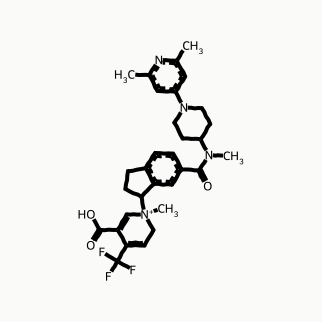 Cc1cc(N2CCC(N(C)C(=O)c3ccc4c(c3)C([N+]3(C)C=C(C(=O)O)C(C(F)(F)F)=CC3)CC4)CC2)cc(C)n1